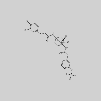 O=C(COc1ccc(Cl)c(F)c1)NC12CCC(NC(=O)Cc3cccc(OC(F)(F)F)c3)(CC1)[C@@H](O)C2